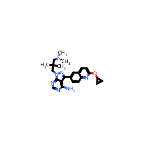 CN(C)CC(C)(C)Cn1nc(-c2ccc3nc(OC4CC4)ccc3c2)c2c(N)ncnc21